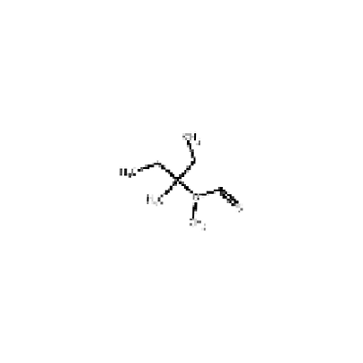 CCC(C)(CC)N(C)C=S